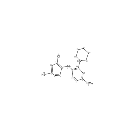 COc1ccc(Nc2ccc(S)cc2Cl)c(N2CCCCC2)c1